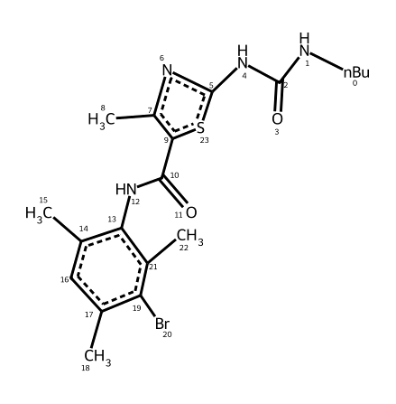 CCCCNC(=O)Nc1nc(C)c(C(=O)Nc2c(C)cc(C)c(Br)c2C)s1